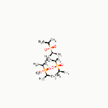 CC(C)P(=O)([O-])C(C)C.CC(C)P(=O)([O-])C(C)C.CC(C)P(=O)([O-])C(C)C.[Ce+3]